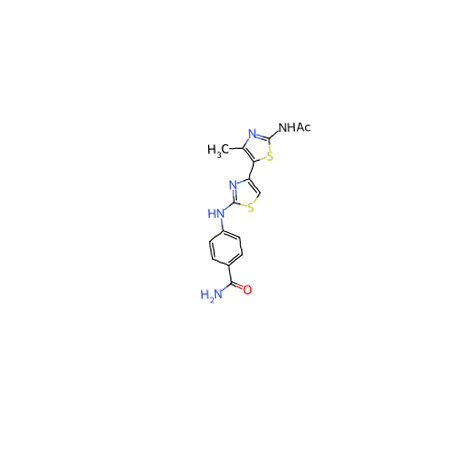 CC(=O)Nc1nc(C)c(-c2csc(Nc3ccc(C(N)=O)cc3)n2)s1